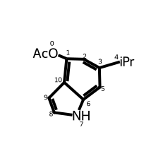 CC(=O)Oc1cc(C(C)C)cc2[nH]ccc12